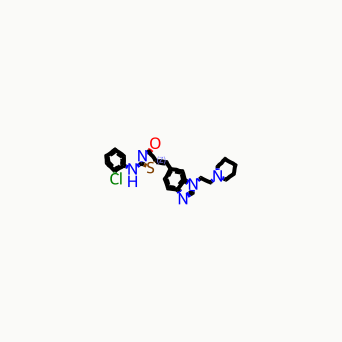 O=C1N=C(Nc2ccccc2Cl)S/C1=C\c1ccc2ncn(CCN3CCCCC3)c2c1